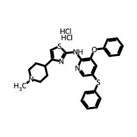 CN1CCC(c2csc(Nc3ncc(Sc4ccccc4)cc3Oc3ccccc3)n2)CC1.Cl.Cl